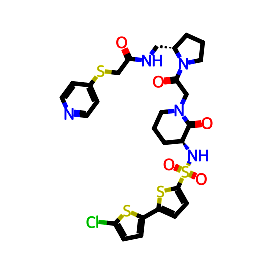 O=C(CSc1ccncc1)NC[C@@H]1CCCN1C(=O)CN1CCC[C@H](NS(=O)(=O)c2ccc(-c3ccc(Cl)s3)s2)C1=O